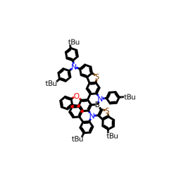 CC(C)(C)c1ccc(N2B3c4sc5ccc(C(C)(C)C)cc5c4N(c4ccc(C(C)(C)C)cc4-c4ccccc4)c4cc5c(oc6ccccc65)c(c43)-c3cc4c(cc32)sc2ccc(N(c3ccc(C(C)(C)C)cc3)c3ccc(C(C)(C)C)cc3)cc24)cc1